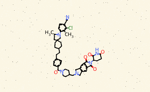 Cc1c(N2CC3(CCC(CCc4ccc(C(=O)N5CCC(CN6Cc7cc8c(cc7C6)C(=O)N(C6CCC(=O)NC6=O)C8=O)CC5)cc4)CC3)C[C@@H]2C)ccc(C#N)c1Cl